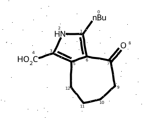 CCCCc1[nH]c(C(=O)O)c2c1C(=O)CCCC2